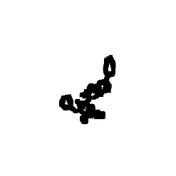 CNC(=O)[C@@H](Cc1ccccc1)N(C)C(=O)[C@@H](Cc1ccc(-c2ccccc2)cc1)N(C)C(=O)O